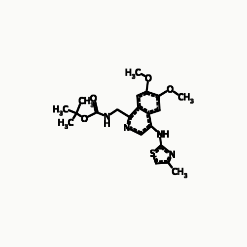 COc1cc2c(Nc3nc(C)cs3)cnc(CNC(=O)OC(C)(C)C)c2cc1OC